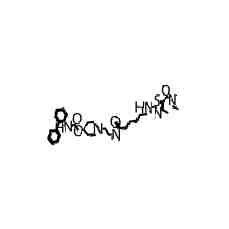 CCN(C)C(=O)c1sc(NCCCCCC(=O)N(C)CCN2CCC(OC(=O)Nc3ccccc3-c3ccccc3)CC2)nc1C